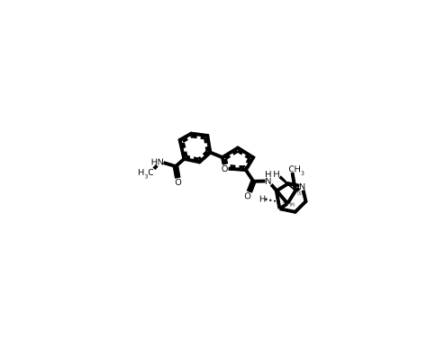 CNC(=O)c1cccc(-c2ccc(C(=O)N[C@@H]3C4CCN(CC4)[C@H]3C)o2)c1